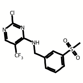 CS(=O)(=O)c1cccc(CNc2nc(Cl)ncc2C(F)(F)F)c1